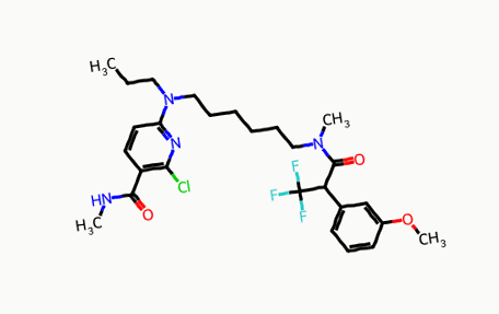 CCCN(CCCCCCN(C)C(=O)C(c1cccc(OC)c1)C(F)(F)F)c1ccc(C(=O)NC)c(Cl)n1